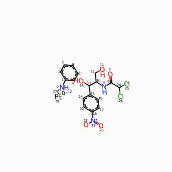 Nc1ccccc1.O=C(NC(CO)C(O)c1ccc([N+](=O)[O-])cc1)C(Cl)Cl.[Co].[Pt]